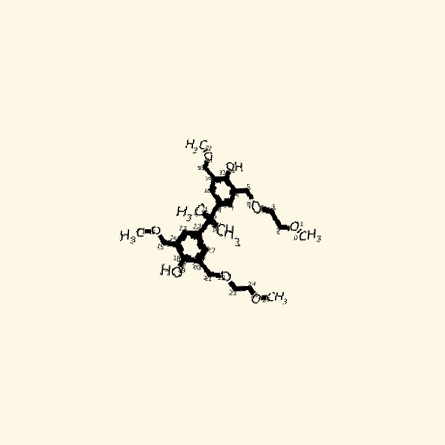 COCCOCc1cc(C(C)(C)c2cc(COC)c(O)c(COCCOC)c2)cc(COC)c1O